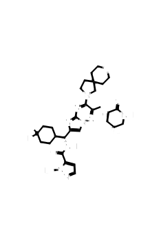 CCn1nccc1C(=O)N[C@H](c1cn2nc(C[C@H]3C[C@@H](C(F)(F)F)CNC3=O)c(N3CCC4(CCOCC4)C3)nc2n1)C1CCC(F)(F)CC1